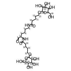 O=CC(CCCCNC(=O)CCCCOC1OC(CO)C(O)[C@H](O)C1O)NC(=O)CCCCOC1OC(CO)C(O)C(O)C1O